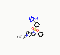 CN(Cc1cc(-c2ccccc2)n(S(=O)(=O)c2cccc(-c3nnn[nH]3)c2)c1)C(=O)O